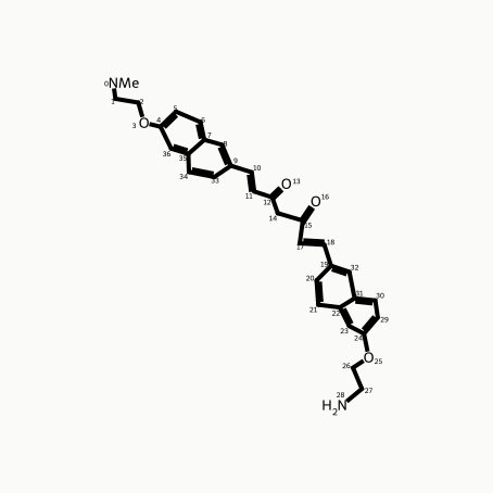 CNCCOc1ccc2cc(/C=C/C(=O)CC(=O)/C=C/c3ccc4cc(OCCN)ccc4c3)ccc2c1